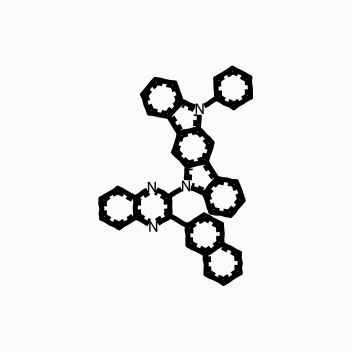 c1ccc(-n2c3ccccc3c3cc4c(cc32)c2ccccc2n4-c2nc3ccccc3nc2-c2ccc3ccccc3c2)cc1